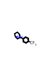 FC(F)(F)c1ccc(C2CC3CCC2N3)cc1